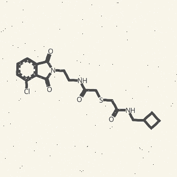 O=C(CSCC(=O)NCC1CCC1)NCCN1C(=O)c2cccc(Cl)c2C1=O